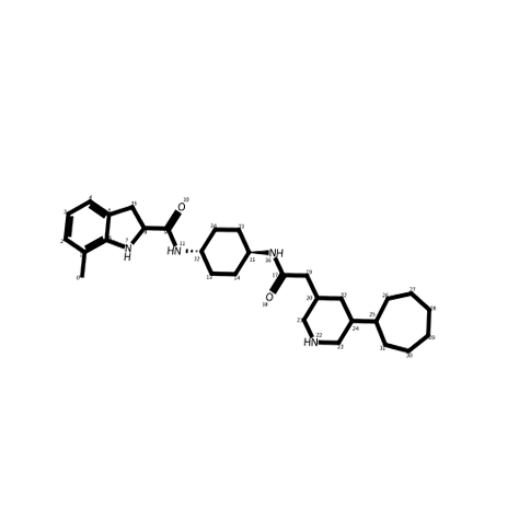 Cc1cccc2c1NC(C(=O)N[C@H]1CC[C@H](NC(=O)CC3CNCC(C4CCCCCC4)C3)CC1)C2